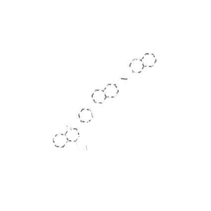 Cc1cc(-c2ccc(-c3ccc4cc(/C=C/c5ccc6ccccc6c5)ccc4c3)cc2)nc2ccccc12